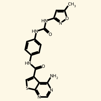 Cc1cc(NC(=O)Nc2ccc(NC(=O)c3csc4ncnc(N)c34)cc2)no1